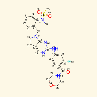 CN(c1ccccc1Cn1ccc2cnc(Nc3ccc(C(=O)N4CCOCC4)c(F)c3)nc21)S(C)(=O)=O